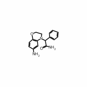 NC(=O)C(c1ccccc1)N1CCOc2ccc(N)cc21